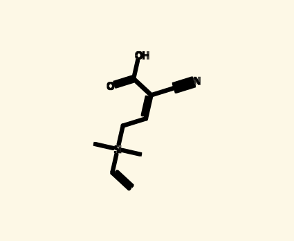 C=C[Si](C)(C)CC=C(C#N)C(=O)O